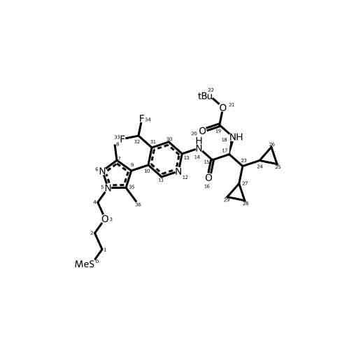 CSCCOCn1nc(C)c(-c2cnc(NC(=O)[C@@H](NC(=O)OC(C)(C)C)C(C3CC3)C3CC3)cc2C(F)F)c1C